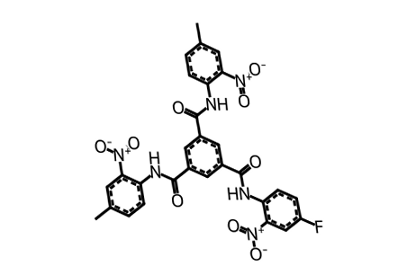 Cc1ccc(NC(=O)c2cc(C(=O)Nc3ccc(C)cc3[N+](=O)[O-])cc(C(=O)Nc3ccc(F)cc3[N+](=O)[O-])c2)c([N+](=O)[O-])c1